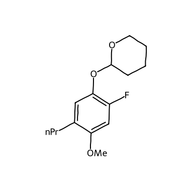 CCCc1cc(OC2CCCCO2)c(F)cc1OC